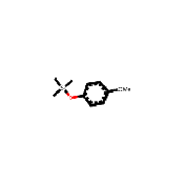 [CH2]Oc1ccc(O[Si](C)(C)C)cc1